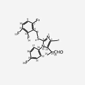 Cc1nc(SCc2c(F)ccc(F)c2F)n(-c2ccc(F)cc2)c1C(C)C=O